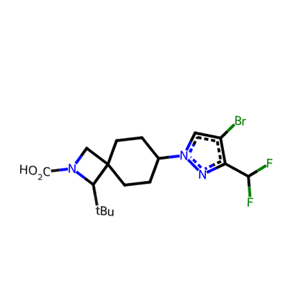 CC(C)(C)C1N(C(=O)O)CC12CCC(n1cc(Br)c(C(F)F)n1)CC2